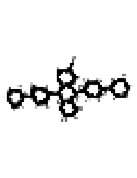 Ic1ccc2c(-c3ccc(-c4ccccc4)cc3)c3ccccc3c(-c3ccc(-c4ccccc4)cc3)c2c1